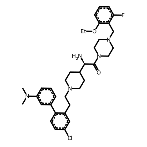 CCOc1cccc(F)c1CN1CCN(C(=O)[C@H](N)C2CCN(CCc3cc(Cl)ccc3-c3cccc(N(C)C)c3)CC2)CC1